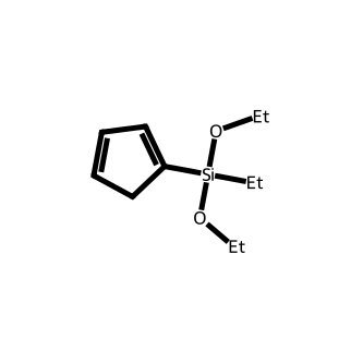 CCO[Si](CC)(OCC)C1=CC=CC1